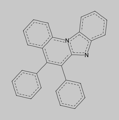 c1ccc(-c2c(-c3ccccc3)c3nc4ccccc4n3c3ccccc23)cc1